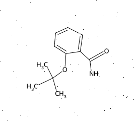 CC(C)(C)Oc1ccccc1C([NH])=O